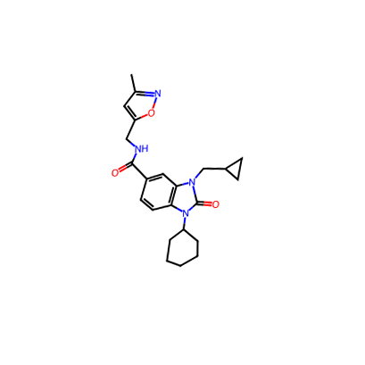 Cc1cc(CNC(=O)c2ccc3c(c2)n(CC2CC2)c(=O)n3C2CCCCC2)on1